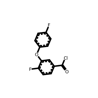 O=C(Cl)c1ccc(F)c(Oc2ccc(F)cc2)c1